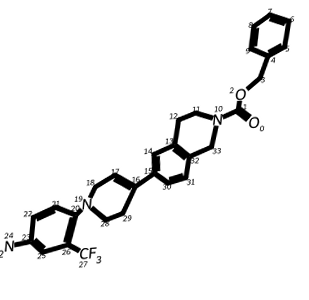 O=C(OCc1ccccc1)N1CCc2cc(C3=CCN(c4ccc([N+](=O)[O-])cc4C(F)(F)F)CC3)ccc2C1